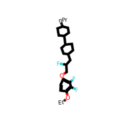 CCCC1CCC(C2CCC(CC(F)COc3ccc(OCC)c(F)c3F)CC2)CC1